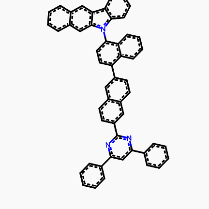 c1ccc(-c2cc(-c3ccccc3)nc(-c3ccc4cc(-c5ccc(-n6c7ccccc7c7cc8ccccc8cc76)c6ccccc56)ccc4c3)n2)cc1